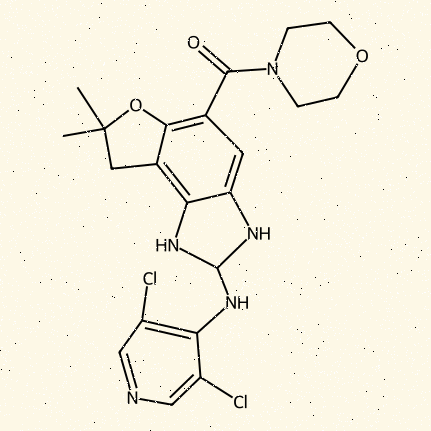 CC1(C)Cc2c3c(cc(C(=O)N4CCOCC4)c2O1)NC(Nc1c(Cl)cncc1Cl)N3